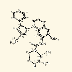 COc1cc2ncnc(-c3cn(C)nc3-c3ccccc3)c2cc1NC(=O)N1CCN[C@@H](C)[C@H]1C